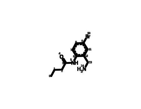 CCCC(=O)Nc1ccc(Br)cc1CN